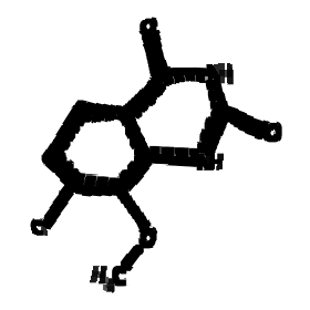 COc1c(Cl)ccc2c(=O)[nH]c(=O)[nH]c12